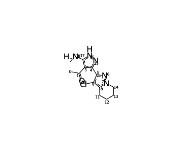 CC(=O)c1c(-c2nn3c(c2Cl)CCCC3)n[nH]c1N